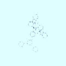 c1ccc(-c2cc(-c3ccccc3)cc(-c3ccc(N(c4cccc5c4oc4ccccc45)c4cccc5c4oc4ccccc45)cc3)c2)cc1